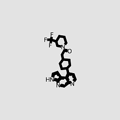 O=C(CC1CCC(c2ccnc3cnc4[nH]ccc4c23)CC1)N1CCCC(C(F)(F)F)C1